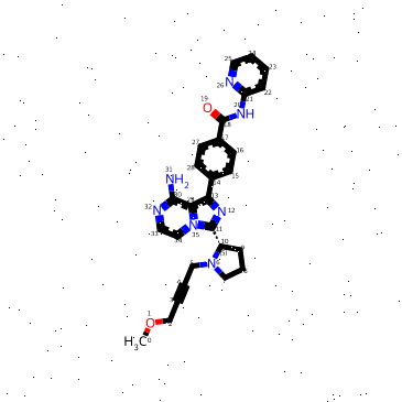 COCC#CCN1CCC[C@H]1c1nc(-c2ccc(C(=O)Nc3ccccn3)cc2)c2c(N)nccn12